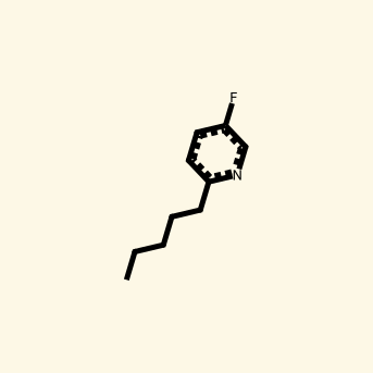 CCCCCc1ccc(F)cn1